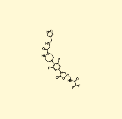 O=C(NC[C@H]1CN(c2cc(F)c(N3CCNN(C(=O)CNCc4cnoc4)CC3)c(F)c2)C(=O)O1)C(F)F